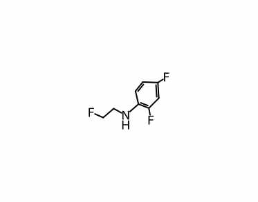 FCCNc1ccc(F)cc1F